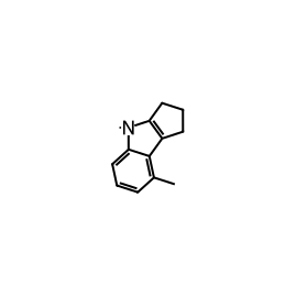 Cc1cccc2c1C1=C(CCC1)[N]2